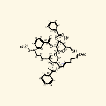 CCCCCCCCCCCCC/C=C/[C@@H](OC(=O)c1ccccc1)[C@H](CO[C@@H]1O[C@H](CO)[C@@H](O)[C@H](OC(=O)c2ccccc2)[C@H]1OC(=O)c1ccccc1)NC(=O)CCCCCCCCCCCCCCC